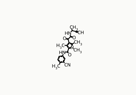 C#CC(C)NC(=O)C(=O)c1c(C)c(C(=O)Nc2ccc(C)c(C#N)c2)n(C)c1C